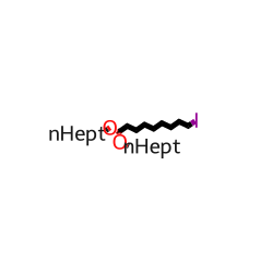 CCCCCCCOC(CCCCCCCCI)OCCCCCCC